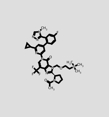 CC(=O)N1CCC[C@@H]1c1nc2c(C(F)(F)F)cn(-c3cc(-c4ccc(F)cc4-c4nncn4C)cc(C4CC4)n3)c(=O)c2n1COCC[Si](C)(C)C